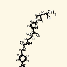 CC(=O)SC1CN(c2nc(C(=O)NCCNC(=O)OCc3ccc([N+](=O)[O-])cc3)cs2)C1